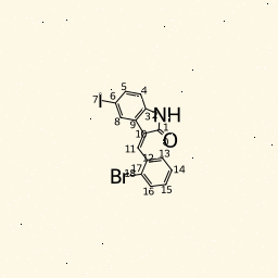 O=C1Nc2ccc(I)cc2C1=Cc1ccccc1Br